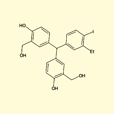 CCc1cc(C(c2ccc(O)c(CO)c2)c2ccc(O)c(CO)c2)ccc1I